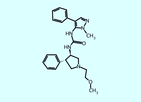 COCCN1C[C@H](NC(=O)Nc2c(-c3ccccc3)cnn2C)[C@@H](c2ccccc2)C1